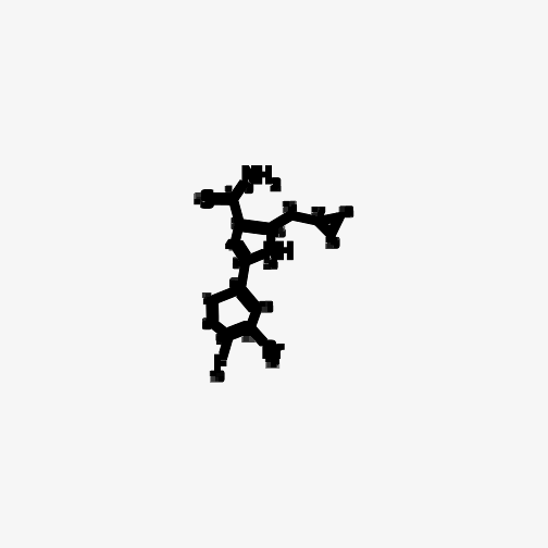 NC(=S)c1cc(-c2ccc(F)c(Br)c2)[nH]c1CC1CC1